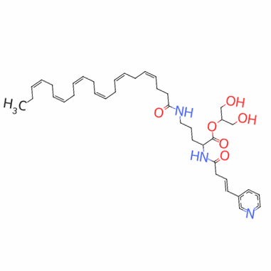 CC/C=C\C/C=C\C/C=C\C/C=C\C/C=C\C/C=C\CCC(=O)NCCCC(NC(=O)C/C=C/c1cccnc1)C(=O)OC(CO)CO